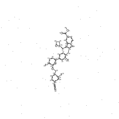 COC(=O)c1ccc2nc(Cc3ccc(-c4ccc(F)c(OCc5ccc(C#N)cc5F)n4)cc3F)n(C[C@@H]3CCO3)c2c1